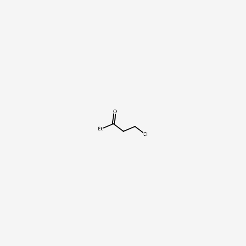 CCC(=O)C[CH]Cl